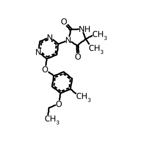 CCOc1cc(Oc2cc(N3C(=O)NC(C)(C)C3=O)ncn2)ccc1C